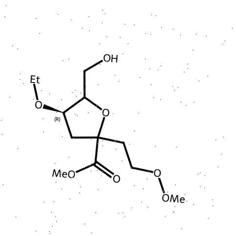 CCO[C@@H]1CC(CCOOC)(C(=O)OC)OC1CO